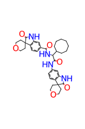 O=C(NC(C(=O)Nc1ccc2c(c1)NC(=O)C21CCOCC1)C1CCCCCCC1)c1ccc2c(c1)NC(=O)C21CCOCC1